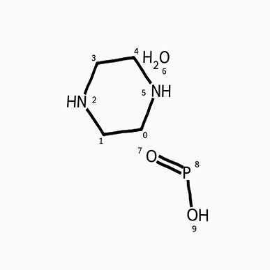 C1CNCCN1.O.O=PO